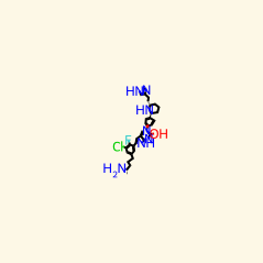 C[C@H](N)CCCc1cc(Cl)c(F)c(-c2cc3c([nH]2)=NC(O)N(c2ccc([C@@H]4CCC[C@@H](CCc5c[nH]cn5)N4)cc2)C=3)c1